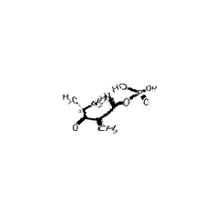 CC(C(=O)[C@H](C)N)C(N)OP(=O)(O)O